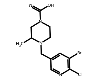 CC1CN(C(=O)O)CCN1Cc1cnc(Cl)c(Br)c1